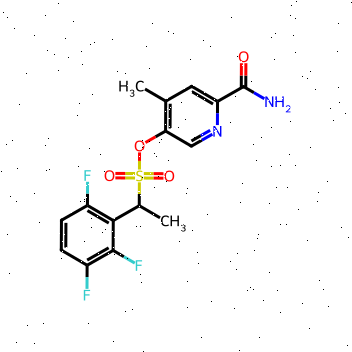 Cc1cc(C(N)=O)ncc1OS(=O)(=O)C(C)c1c(F)ccc(F)c1F